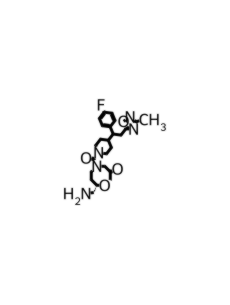 Cc1noc(CC(c2ccc(F)cc2)C2CCN(C(=O)N3CC[C@@H](CN)OCC(=O)C3)CC2)n1